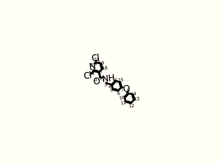 O=C(NCc1ccc(Oc2ccccc2)cc1)c1ccc(Cl)nc1Cl